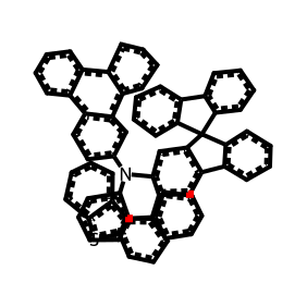 c1ccc(-c2ccccc2N(c2ccc3c4ccccc4c4ccccc4c3c2)c2cc3c(cc2-c2cccc4sc5ccccc5c24)-c2ccccc2C32c3ccccc3-c3ccccc32)cc1